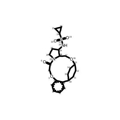 O=C1COc2ccccc2C2CCC(CC2)OCC2C(NS(=O)(=O)C3CC3)CCN12